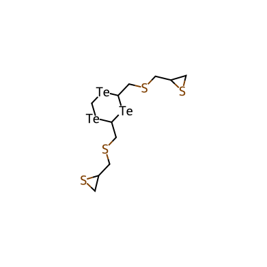 C1[Te]C(CSCC2CS2)[Te]C(CSCC2CS2)[Te]1